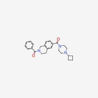 O=C(c1ccc2c(c1)CCN(C(=O)c1ccccc1)C2)N1CCN(C2CCC2)CC1